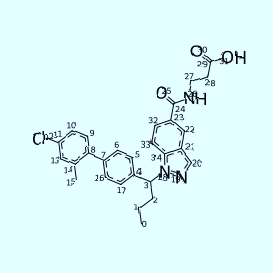 CCCC(c1ccc(-c2ccc(Cl)cc2C)cc1)n1ncc2cc(C(=O)NCCC(=O)O)ccc21